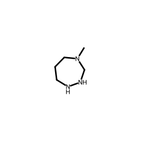 CN1CCCNNC1